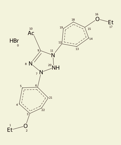 Br.CCOc1ccc(N2N=C(C(C)=O)N(c3ccc(OCC)cc3)N2)cc1